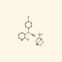 CO[C@]1(C#CC(c2ccc(F)cc2)c2cccnc2F)CN2CCC1CC2